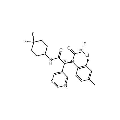 Cc1ccc(N(C(=O)[C@H](F)Cl)[C@H](C(=O)NC2CCC(F)(F)CC2)c2cncnc2)c(F)c1